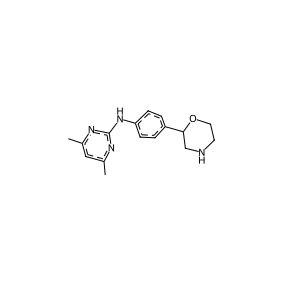 Cc1cc(C)nc(Nc2ccc(C3CNCCO3)cc2)n1